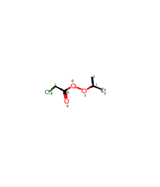 CCC(C)OOC(=O)CCl